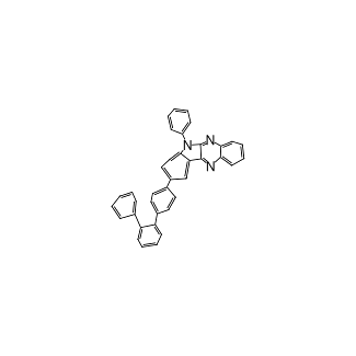 c1ccc(-c2ccccc2-c2ccc(-c3ccc4c(c3)c3nc5ccccc5nc3n4-c3ccccc3)cc2)cc1